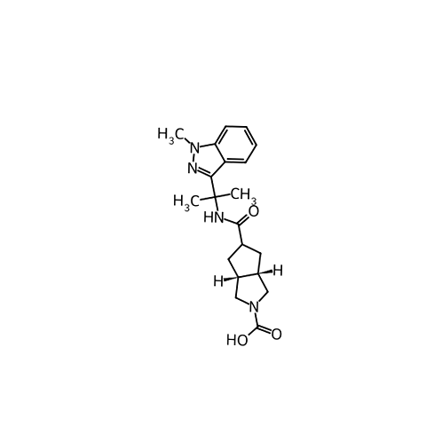 Cn1nc(C(C)(C)NC(=O)C2C[C@@H]3CN(C(=O)O)C[C@@H]3C2)c2ccccc21